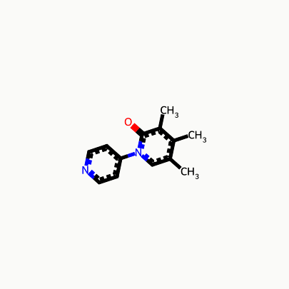 Cc1cn(-c2ccncc2)c(=O)c(C)c1C